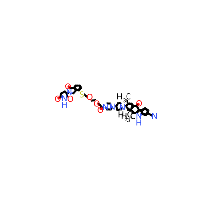 CCc1cc2c(cc1N1CCC(N3CCN(C(=O)COCCOCCSc4cccc5c4CN(C4CCC(=O)NC4=O)C5=O)CC3)CC1)C(C)(C)c1[nH]c3cc(C#N)ccc3c1C2=O